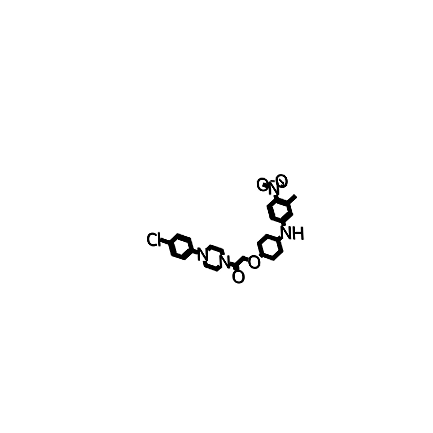 Cc1cc(NC2CCC(OCC(=O)N3CCN(c4ccc(Cl)cc4)CC3)CC2)ccc1[N+](=O)[O-]